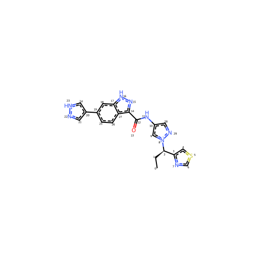 CC[C@H](c1cscn1)n1cc(NC(=O)c2n[nH]c3cc(-c4cn[nH]c4)ccc23)cn1